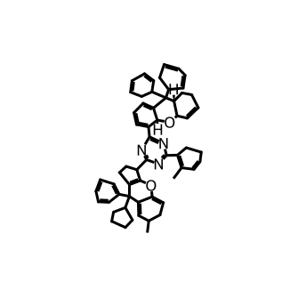 CC1=C(c2nc(C3=C=CC=C4[C@@H]3OC3C=CCC[C@H]3C4(C3C=CC=CC3)C3C=CC=CC3)nc(C3CCC4=C3OC3=CCC(C)C=C3C4(c3ccccc3)C3CCCC3)n2)CCC=C1